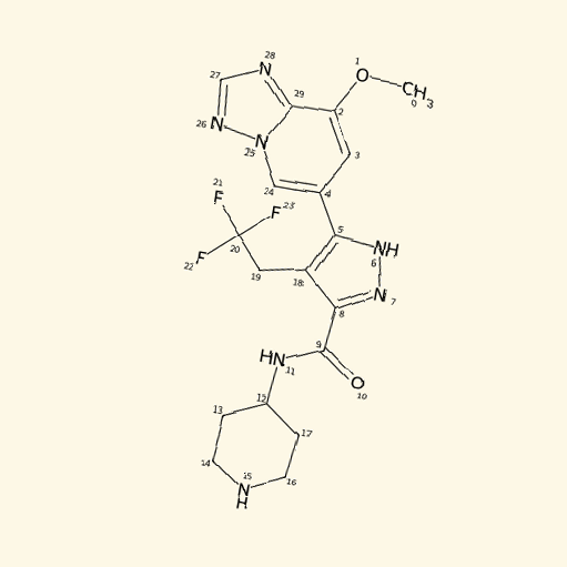 COc1cc(-c2[nH]nc(C(=O)NC3CCNCC3)c2CC(F)(F)F)cn2ncnc12